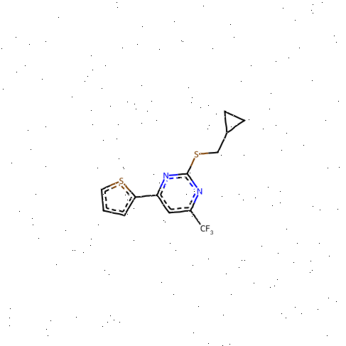 FC(F)(F)c1cc(-c2cccs2)nc(SCC2CC2)n1